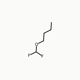 CCCCOC(F)F